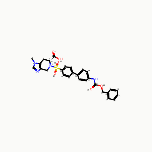 Cn1cnc2c1C[C@H](C(=O)O)N(S(=O)(=O)c1ccc(-c3ccc(NC(=O)OCc4ccccc4)cc3)cc1)C2